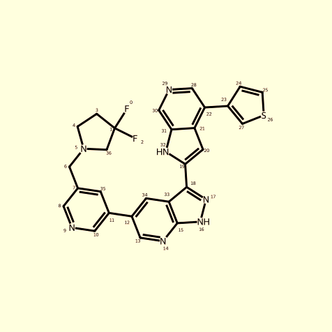 FC1(F)CCN(Cc2cncc(-c3cnc4[nH]nc(-c5cc6c(-c7ccsc7)cncc6[nH]5)c4c3)c2)C1